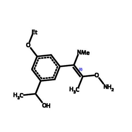 CCOc1cc(/C(NC)=C(\C)ON)cc(C(C)O)c1